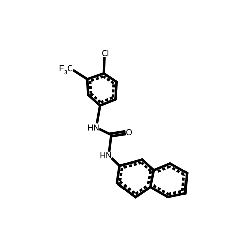 O=C(Nc1ccc(Cl)c(C(F)(F)F)c1)Nc1ccc2ccccc2c1